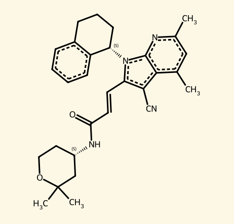 Cc1cc(C)c2c(C#N)c(C=CC(=O)N[C@H]3CCOC(C)(C)C3)n([C@H]3CCCc4ccccc43)c2n1